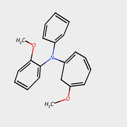 COC1=CC=CC=C(N(c2ccccc2)c2ccccc2OC)C1